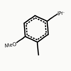 COc1ccc([C](C)C)cc1C